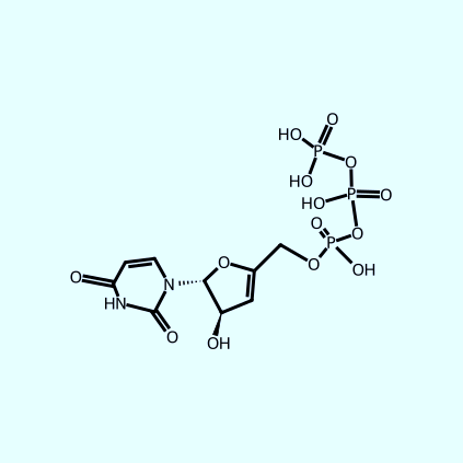 O=c1ccn([C@@H]2OC(COP(=O)(O)OP(=O)(O)OP(=O)(O)O)=C[C@H]2O)c(=O)[nH]1